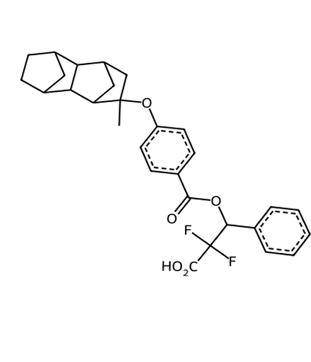 CC1(Oc2ccc(C(=O)OC(c3ccccc3)C(F)(F)C(=O)O)cc2)CC2CC1C1C3CCC(C3)C21